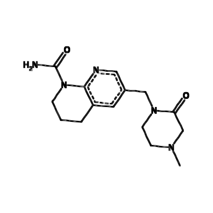 CN1CCN(Cc2cnc3c(c2)CCCN3C(N)=O)C(=O)C1